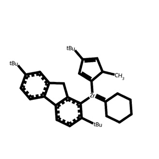 CC1C=C(C(C)(C)C)C=[C]1[Zr](=[C]1CCCCC1)[c]1c(C(C)(C)C)ccc2c1Cc1cc(C(C)(C)C)ccc1-2